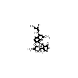 Cc1cc(N/C=C(/F)C=N)c2cccc(OCc3c(Cl)cncc3C(C)NC(=O)C(C)O)c2n1